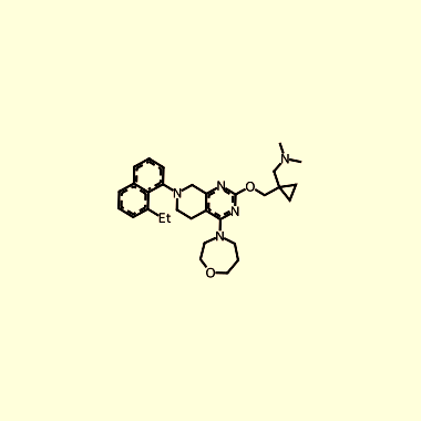 CCc1cccc2cccc(N3CCc4c(nc(OCC5(CN(C)C)CC5)nc4N4CCCOCC4)C3)c12